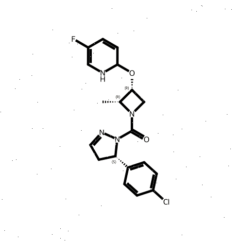 C[C@@H]1[C@H](OC2C=CC(F)=CN2)CN1C(=O)N1N=CC[C@H]1c1ccc(Cl)cc1